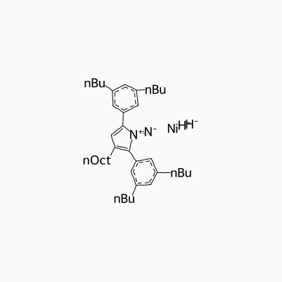 CCCCCCCCC1=C(c2cc(CCCC)cc(CCCC)c2)[N+](=[N-])C(c2cc(CCCC)cc(CCCC)c2)=C1.[H-].[H-].[Ni]